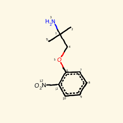 CC(C)(N)COc1ccccc1[N+](=O)[O-]